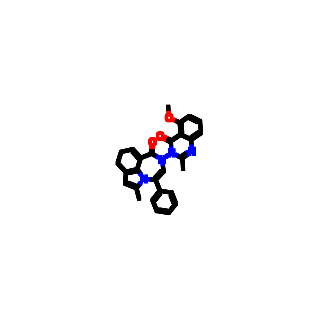 COc1cccc2nc(C)n(N3C=C(c4ccccc4)n4c(C)cc5c4C(=CCC5)C3=O)c(=O)c12